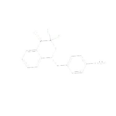 COc1ccc(CC2CC(F)(F)C(=O)c3ccccc32)cc1